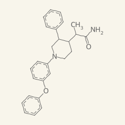 CC(C(N)=O)C1CCN(c2cccc(Oc3ccccc3)c2)CC1c1ccccc1